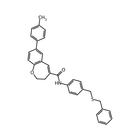 Cc1ccc(-c2ccc3c(c2)C=C(C(=O)Nc2ccc(CSCc4ccccc4)cc2)CCO3)cc1